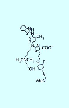 CNCC#Cc1ccc(OCCCc2sc(N(CCCCC[N+](C)(C)CCCO)c3cc(C)c(Nc4nc5ccccc5s4)nn3)nc2C(=O)[O-])c(F)c1